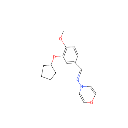 COc1ccc(C=NN2C=COC=C2)cc1OC1CCCC1